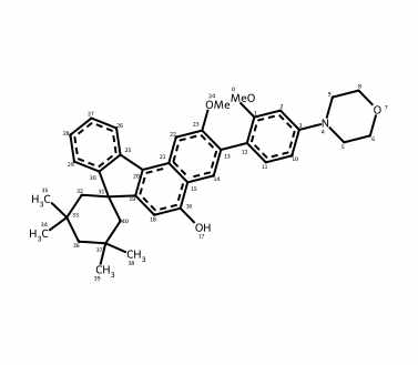 COc1cc(N2CCOCC2)ccc1-c1cc2c(O)cc3c(c2cc1OC)-c1ccccc1C31CC(C)(C)CC(C)(C)C1